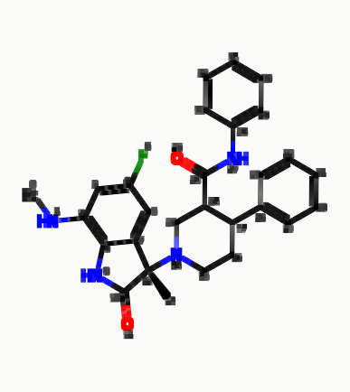 CCNc1cc(F)cc2c1NC(=O)[C@@]2(C)N1CCC(c2ccccc2)C(C(=O)Nc2ccccc2)C1